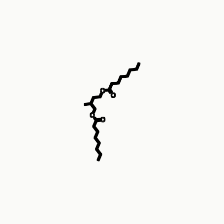 CCCCCCCC(=O)OCCC(C)COC(=O)CCCCCCC